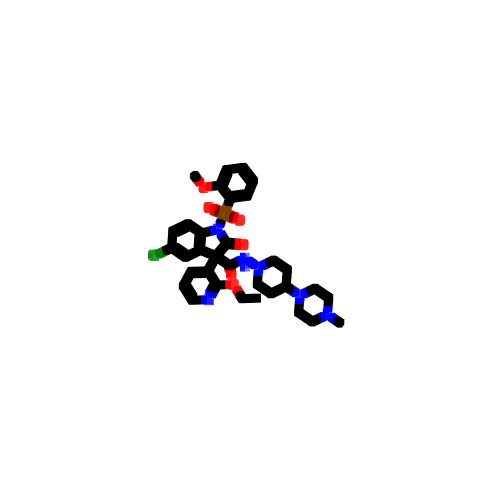 CCOc1ncccc1C1(C(=O)NN2CCC(N3CCN(C)CC3)CC2)C(=O)N(S(=O)(=O)c2ccccc2OC)c2ccc(Cl)cc21